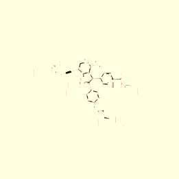 C=C(F)C(=O)Nc1ccc(-c2c(-c3cnc(C(=O)NCC(F)(F)F)c(Cl)c3)c3c(N)ncc(C#CCN(C)C)c3n2C)c(C)c1